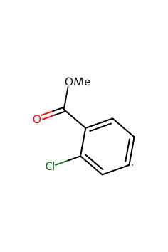 COC(=O)c1cc[c]cc1Cl